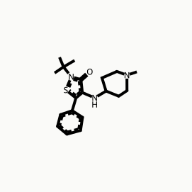 CN1CCC(Nc2c(-c3ccccc3)sn(C(C)(C)C)c2=O)CC1